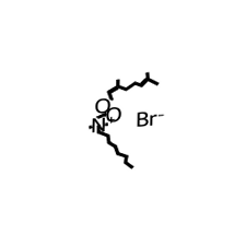 CCCCCCCC[N+](C)(C)CC(=O)OCC=C(C)CCC=C(C)C.[Br-]